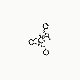 O=C(N[C@@H](Cc1ccccc1Cl)C(=O)NN1C(=O)CC1Oc1ccccc1)OCc1ccccc1